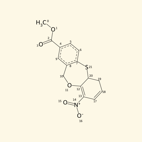 COC(=O)c1ccc2c(c1)COC1=C([N+](=O)[O-])C=CCC1S2